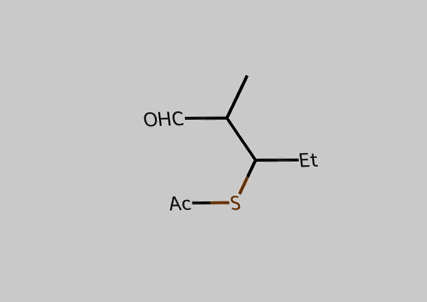 CCC(SC(C)=O)C(C)C=O